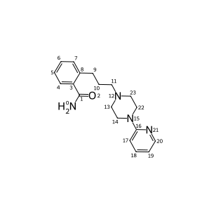 NC(=O)c1ccccc1CCCN1CCN(c2ccccn2)CC1